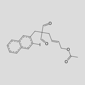 CC(=O)OC/C=C/CC(C=O)(C=O)Cc1cc2ccccc2cc1I